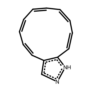 C1=CC=CC=Cc2[nH]ncc2C=CC=C1